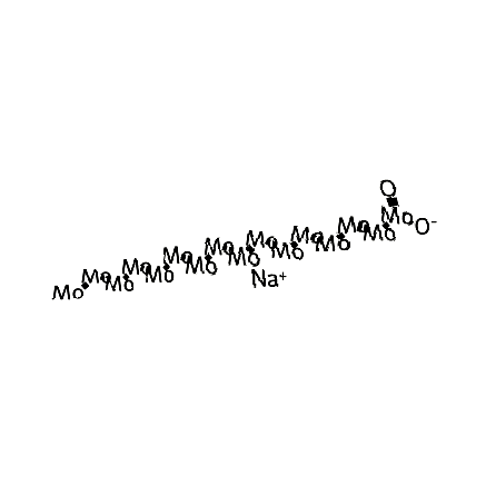 [Na+].[O]=[Mo]([O-])/[Mo]=[Mo]/[Mo][Mo][Mo][Mo][Mo][Mo][Mo][Mo][Mo][Mo][Mo][Mo][Mo]